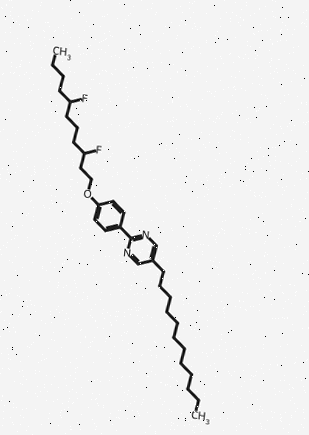 CCCCCCCCCCCCc1cnc(-c2ccc(OCCC(F)CCCC(F)CCCC)cc2)nc1